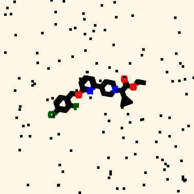 CCOC(=O)C(C1CC1)N1CCC(c2cccc(OCc3ccc(Cl)cc3F)n2)CC1